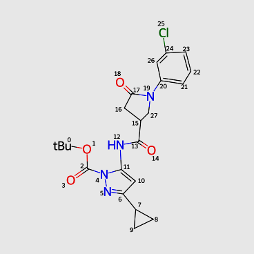 CC(C)(C)OC(=O)n1nc(C2CC2)cc1NC(=O)C1CC(=O)N(c2cccc(Cl)c2)C1